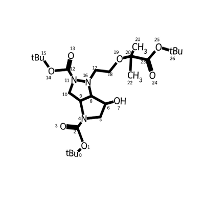 CC(C)(C)OC(=O)N1CC(O)C2C1CN(C(=O)OC(C)(C)C)N2CCOC(C)(C)C(=O)OC(C)(C)C